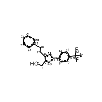 OCc1sc(-c2ccc(C(F)(F)F)cc2)nc1CCc1ccccc1